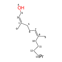 C/C(=C/CO)CC/C=C(/C)CCCC(C)C